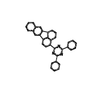 c1ccc(-c2nc(-c3ccccc3)nc(-c3ccc4c5c(cccc35)-c3cc5ccccc5cc3-4)n2)cc1